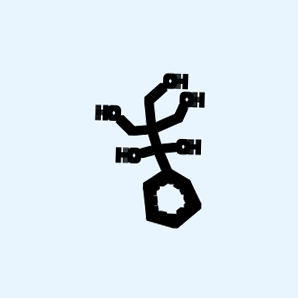 OCC(CO)(CO)C(O)(O)c1ccccc1